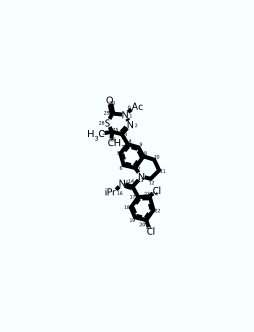 CC(=O)N1N=C(c2ccc3c(c2)CCCN3C(=NC(C)C)c2ccc(Cl)cc2Cl)C(C)(C)SC1=O